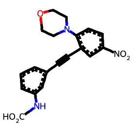 O=C(O)Nc1cccc(C#Cc2cc([N+](=O)[O-])ccc2N2CCOCC2)c1